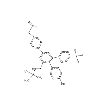 CC(C)(C)NCc1cc(-c2ccc(C[SH](=O)=O)cc2)cc(-c2ccc(C(F)(F)F)nc2)c1-c1ccc(O)cc1